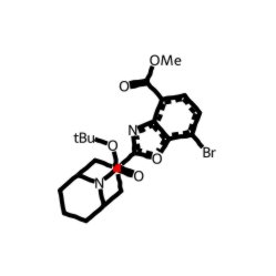 COC(=O)c1ccc(Br)c2oc(N3CC4CCCC(C3)N4C(=O)OC(C)(C)C)nc12